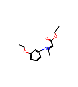 CCOC(=O)/C=C(/C)Nc1cccc(OCC)c1